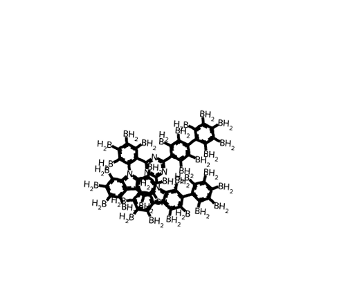 Bc1c(B)c(B)c(-c2c(B)c(B)c(-c3nc(-c4c(B)c(B)c(B)c(B)c4-n4c5c(B)c(B)c(B)c(B)c5c5c(B)c(B)c(B)c(B)c54)nc(-n4c5c(B)c(B)c(B)c(B)c5c5c(B)c(B)c(-c6c(B)c(B)c(B)c(B)c6B)c(B)c54)n3)c(B)c2B)c(B)c1B